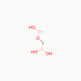 OBOCB(O)O